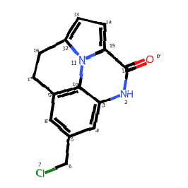 O=c1[nH]c2cc(CCl)cc3c2n2c(ccc12)CC3